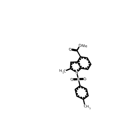 COC(=O)c1cccc2c1cc(C)n2S(=O)(=O)c1ccc(C)cc1